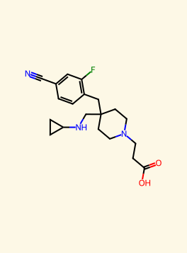 N#Cc1ccc(CC2(CNC3CC3)CCN(CCC(=O)O)CC2)c(F)c1